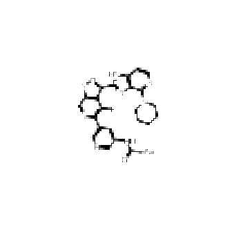 CCCCC(=O)Nc1cncc(-c2ncc3[nH]nc(-c4nc5c(N6CCCCC6)nccc5[nH]4)c3c2F)c1